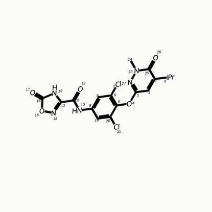 CC(C)c1cc(Oc2c(Cl)cc(NC(=O)c3noc(=O)[nH]3)cc2Cl)nn(C)c1=O